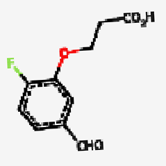 O=Cc1ccc(F)c(OCCC(=O)O)c1